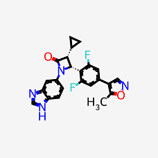 Cc1oncc1-c1cc(F)c([C@H]2[C@@H](C3CC3)C(=O)N2c2ccc3[nH]cnc3c2)c(F)c1